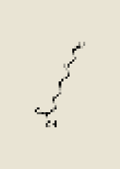 O=CCOCCOCCC(=O)O